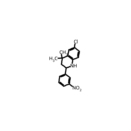 CC1(C)CC(c2cccc([N+](=O)[O-])c2)Nc2ccc(Cl)cc21